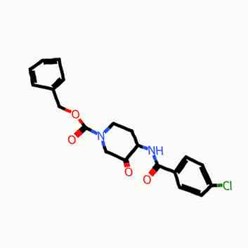 O=C(NC1CCN(C(=O)OCc2ccccc2)CC1=O)c1ccc(Cl)cc1